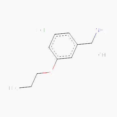 CCCOc1cccc([C@@H](C)N)c1.Cl